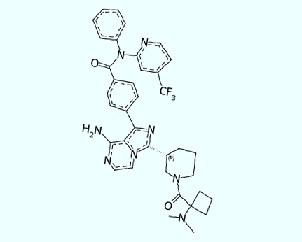 CN(C)C1(C(=O)N2CCC[C@@H](c3nc(-c4ccc(C(=O)N(c5ccccc5)c5cc(C(F)(F)F)ccn5)cc4)c4c(N)nccn34)C2)CCC1